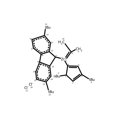 CCCCC1C=C(C(C)(C)C)C=[C]1[Zr+2](=[C](C)C)[CH]1c2cc(C(C)(C)C)ccc2-c2ccc(C(C)(C)C)cc21.[Cl-].[Cl-]